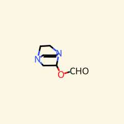 O=COC1CN2C=CN1CC2